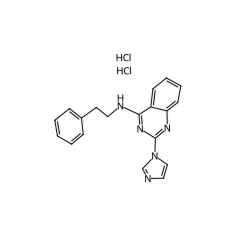 Cl.Cl.c1ccc(CCNc2nc(-n3ccnc3)nc3ccccc23)cc1